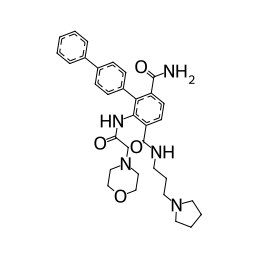 NC(=O)c1ccc(C(=O)NCCCN2CCCC2)c(NC(=O)CN2CCOCC2)c1-c1ccc(-c2ccccc2)cc1